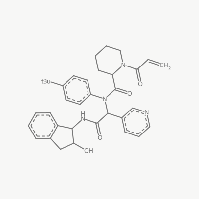 C=CC(=O)N1CCCCC1C(=O)N(c1ccc(C(C)(C)C)cc1)C(C(=O)NC1c2ccccc2CC1O)c1cccnc1